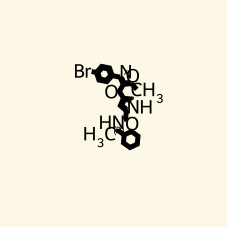 Cc1onc(-c2ccc(Br)cc2)c1C(=O)c1c[nH]c(C(=O)N[C@H](C)C2CCCCC2)c1